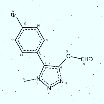 Cn1nnc(OC=O)c1-c1ccc(Br)cc1